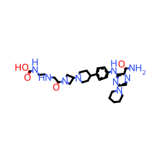 NC(=O)c1ncc(N2CCCCC2)nc1Nc1ccc(C2CCN(C3CN(C(=O)CNCCNC(=O)O)C3)CC2)cc1